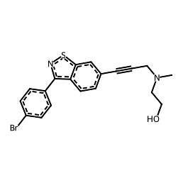 CN(CC#Cc1ccc2c(-c3ccc(Br)cc3)nsc2c1)CCO